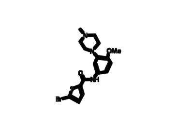 COc1ccc(NC(=O)c2ccc(Br)s2)cc1N1CCN(C)CC1